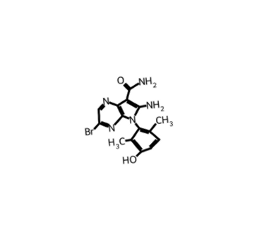 Cc1ccc(O)c(C)c1-n1c(N)c(C(N)=O)c2ncc(Br)nc21